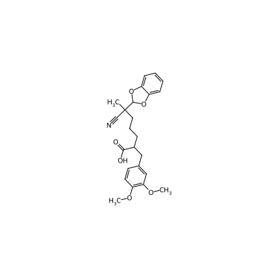 COc1ccc(CC(CCCC(C)(C#N)C2Oc3ccccc3O2)C(=O)O)cc1OC